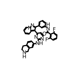 O=C(Nc1cccc(-c2nn3ccccc3c2-c2ccnc(Nc3ccc4c(c3)CNCC4)n2)c1)c1c(F)cccc1F